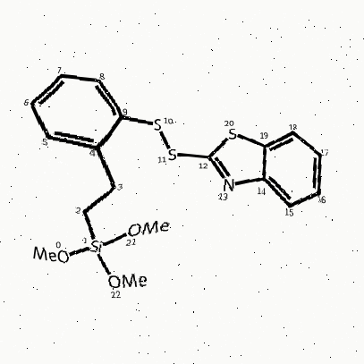 CO[Si](CCc1ccccc1SSc1nc2ccccc2s1)(OC)OC